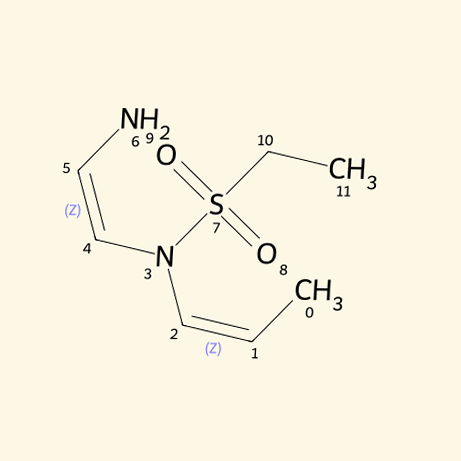 C/C=C\N(/C=C\N)S(=O)(=O)CC